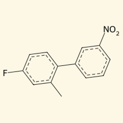 Cc1cc(F)ccc1-c1cccc([N+](=O)[O-])c1